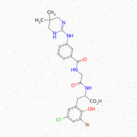 CC1(C)CN=C(Nc2cccc(C(=O)NCC(=O)NC(Cc3cc(Cl)cc(Br)c3O)C(=O)O)c2)NC1